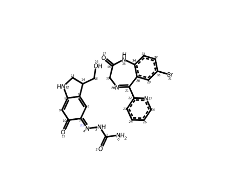 NC(=O)N/N=C1\C=C2C(=CC1=O)NCC2CO.O=C1CN=C(c2ccccn2)c2cc(Br)ccc2N1